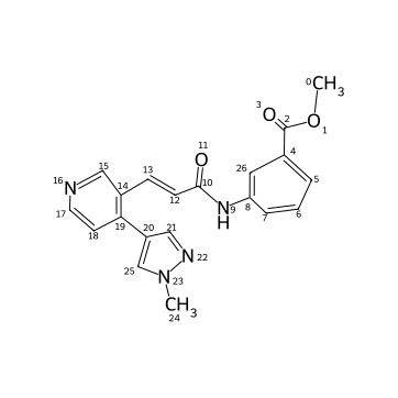 COC(=O)c1cccc(NC(=O)C=Cc2cnccc2-c2cnn(C)c2)c1